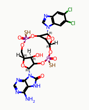 Nc1ncnc2c1[nH]c(=O)n2[C@@H]1O[C@@H]2COP(=O)(S)OC3C(=O)[C@H](O[C@H]3n3cnc4cc(Cl)c(Cl)cc43)OP(=O)(S)OC1[C@@H]2O